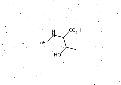 CCCNC(C(=O)O)C(C)O